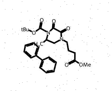 COC(=O)CCCN1CC(C)N(C(=O)OC(C)(C)C)C(=O)C1=O.c1ccc(-c2ccccc2)cc1